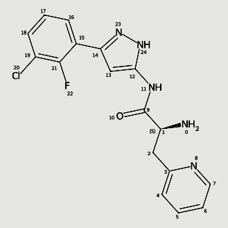 N[C@@H](Cc1ccccn1)C(=O)Nc1cc(-c2cccc(Cl)c2F)n[nH]1